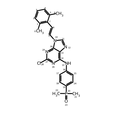 Cc1cccc(C)c1C=Cn1cnc2c(Nc3ccc(P(C)(C)=O)cc3)nc(Cl)nc21